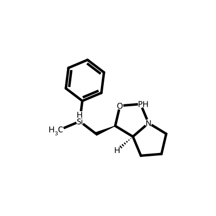 C[SiH](C[C@H]1OPN2CCC[C@@H]12)c1ccccc1